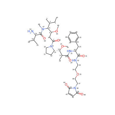 CCC(C)C(C(CC(=O)N1CCC[C@H]1C(OC)C(C)C(=O)NC(Cc1ccccc1)C(=O)NCCOCCN1C(=O)C=CC1=O)OC)N(C)C(=O)C(N)C(C)C